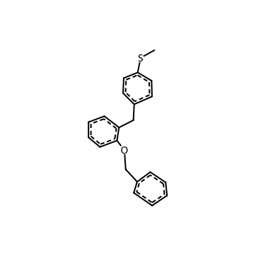 CSc1ccc(Cc2ccccc2OCc2ccccc2)cc1